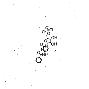 O=C(Nc1ccn([C@@H]2O[C@H](COP(=O)(Cl)Cl)[C@H](O)C2O)c(=O)n1)c1ccccc1